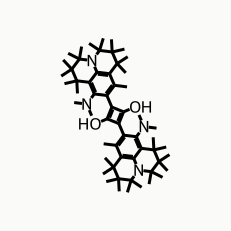 Cc1c(C2=C(O)C(c3c(C)c4c5c(c3N(C)C)C(C)(C)C(C)(C)C(C)(C)N5C(C)(C)C(C)(C)C4(C)C)=C2O)c(N(C)C)c2c3c1C(C)(C)C(C)(C)C(C)(C)N3C(C)(C)C(C)(C)C2(C)C